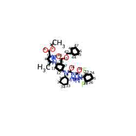 CCOC(=O)c1cc(C)n(-c2ccc(N(C(=O)n3nnn(-c4c(F)cccc4F)c3=O)C3CCCCC3)cc2C(=O)OCc2ccccc2)n1